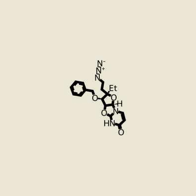 CC[C@@]1(CCN=[N+]=[N-])O[C@@H]2C(OC3NC(=O)C=CN32)[C@H]1OCc1ccccc1